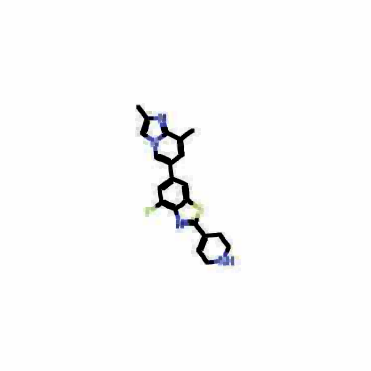 Cc1cn2cc(-c3cc(F)c4nc(C5=CCNCC5)sc4c3)cc(C)c2n1